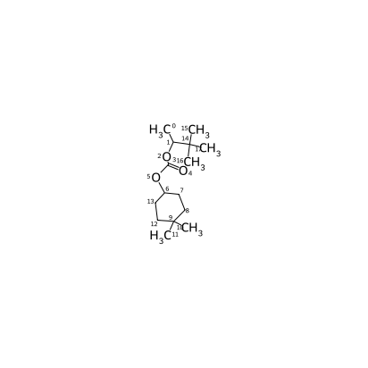 CC(OC(=O)OC1CCC(C)(C)CC1)C(C)(C)C